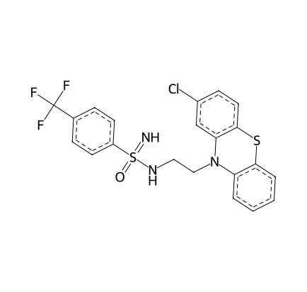 N=S(=O)(NCCN1c2ccccc2Sc2ccc(Cl)cc21)c1ccc(C(F)(F)F)cc1